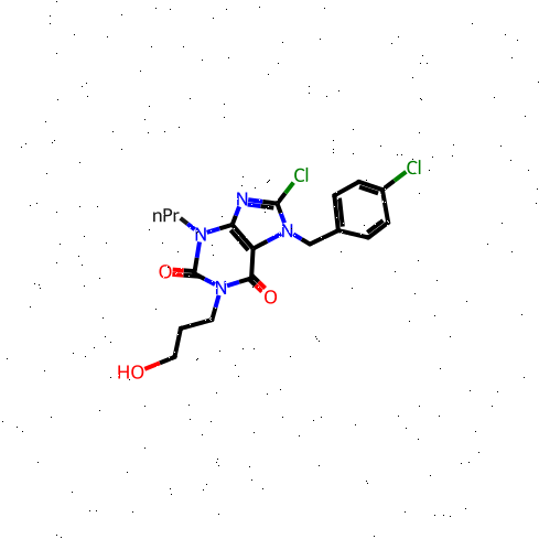 CCCn1c(=O)n(CCCO)c(=O)c2c1nc(Cl)n2Cc1ccc(Cl)cc1